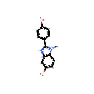 Cn1c(-c2ccc(O)cc2)nc2cc(O)ccc21